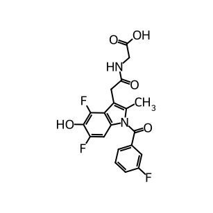 Cc1c(CC(=O)NCC(=O)O)c2c(F)c(O)c(F)cc2n1C(=O)c1cccc(F)c1